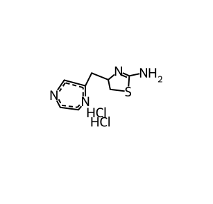 Cl.Cl.NC1=NC(Cc2cnccn2)CS1